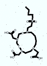 CCCCS(=O)(=O)CCN1CCCCN(CC(=O)O)CCN(CC(=O)O)CCN(CC(=O)O)CC1